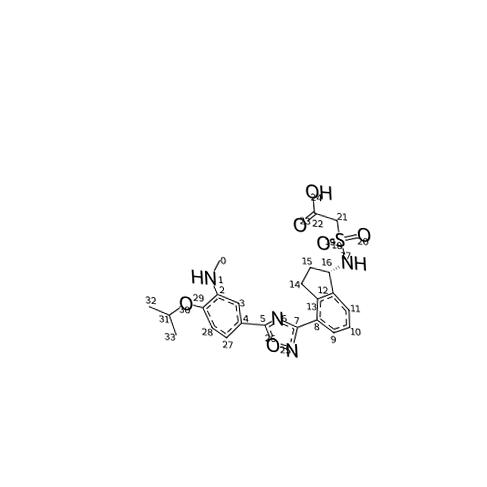 CNc1cc(-c2nc(-c3cccc4c3CC[C@@H]4NS(=O)(=O)CC(=O)O)no2)ccc1OC(C)C